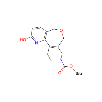 CC(C)(C)OC(=O)N1CCC2=C(COCc3ccc(O)nc32)C1